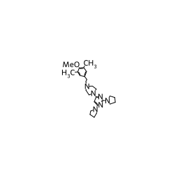 COc1c(C)cc(CCN2CCN(c3cc(N4CCCC4)nc(N4CCCC4)n3)CC2)cc1C